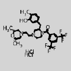 Cc1ccc(CC2CN(CCN3C[C@@H](C)O[C@@H](C)C3)CCN2C(=O)c2cc(C(F)(F)F)cc(C(F)(F)F)c2)cc1O.Cl.Cl